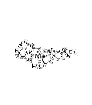 CO[C@@H]1C[C@H](N2C(=N)N[C@](C)(c3cccc(-c4ccc(S(C)(=O)=O)cc4F)c3Cl)CC2=O)CCC1(F)F.Cl